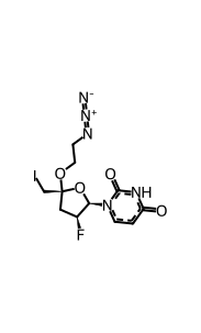 [N-]=[N+]=NCCO[C@@]1(CI)C[C@H](F)[C@H](n2ccc(=O)[nH]c2=O)O1